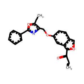 C=CC(=O)c1occ2ccc(OCc3nc(-c4ccccc4)oc3C)cc12